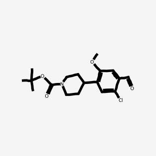 COc1cc(C=O)c(Cl)cc1C1CCN(C(=O)OC(C)(C)C)CC1